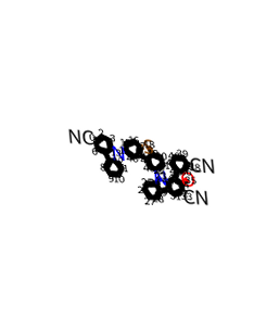 N#Cc1ccc2c(c1)c1ccccc1n2-c1ccc2sc3ccc(-n4c5ccccc5c5cc(C#N)c6oc7c(C#N)cccc7c6c54)cc3c2c1